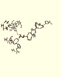 COc1cc(OC)cc(N(CCCO[Si](C)(C)C(C)(C)C)c2ccc3ncc(-c4ccc(C)nc4)nc3c2)c1